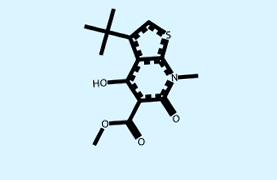 COC(=O)c1c(O)c2c(C(C)(C)C)csc2n(C)c1=O